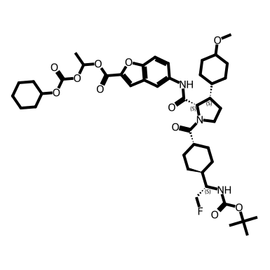 COC1CCC([C@@H]2CCN(C(=O)[C@H]3CC[C@H]([C@@H](CF)NC(=O)OC(C)(C)C)CC3)[C@@H]2C(=O)Nc2ccc3oc(C(=O)OC(C)OC(=O)OC4CCCCC4)cc3c2)CC1